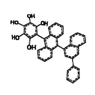 Oc1c(O)c(O)c(-c2c3ccccc3c(-c3cc(-c4ccccc4)cc4ccccc34)c3ccccc23)c(O)c1O